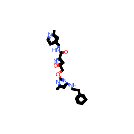 Cc1cc(CNC(=O)c2cc(COc3nc(C)cc(NCCc4ccccc4)n3)on2)ccn1